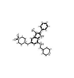 O=S1(=O)CCN(Cc2cc(NCC3CCOCC3)c3[nH]c(-c4ccccc4)c(Br)c3c2)CC1